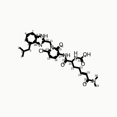 CC(C)Cc1cccc2[nH]c(Cn3c(Cl)ccc(NC(=O)C(CC/C=C/C(=O)N(C)C)NC(=O)O)c3=O)nc12